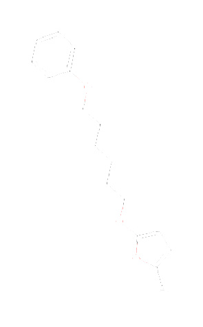 CC(=O)c1ccc(OCCCCCCOc2ccccc2)o1